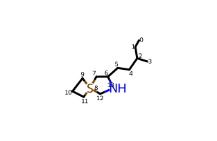 CCC(C)CCC1CS2(CCC2)CN1